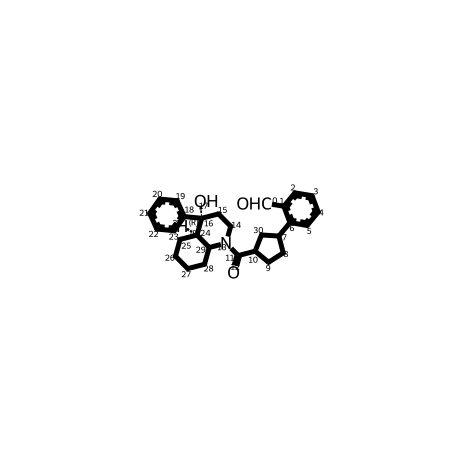 O=Cc1ccccc1C1CCC(C(=O)N2CC[C@](O)(c3ccccc3)[C@@H]3CCCCC32)C1